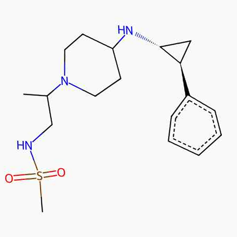 CC(CNS(C)(=O)=O)N1CCC(N[C@@H]2C[C@H]2c2ccccc2)CC1